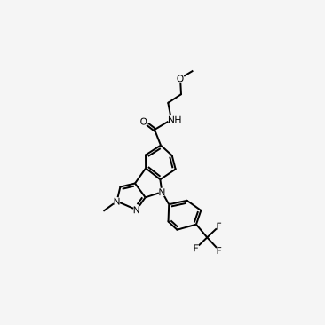 COCCNC(=O)c1ccc2c(c1)c1cn(C)nc1n2-c1ccc(C(F)(F)F)cc1